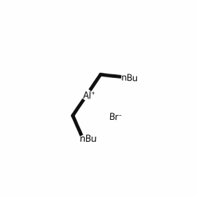 CCCC[CH2][Al+][CH2]CCCC.[Br-]